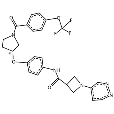 O=C(Nc1ccc(O[C@@H]2CCN(C(=O)c3ccc(OC(F)(F)F)cc3)C2)cc1)C1CN(c2ccnnc2)C1